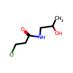 CC(O)CNC(=O)CCCl